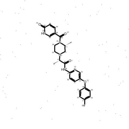 C[C@@H]1CN([C@@H](C)C(=O)Nc2ccc(Oc3ccc(F)cc3)cn2)CCN1C(=O)c1ccc(=O)[nH]c1